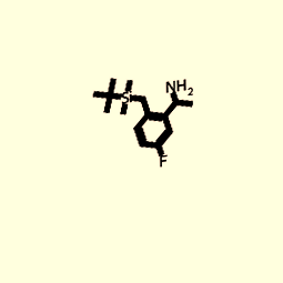 CC(N)c1cc(F)ccc1C[Si](C)(C)C(C)(C)C